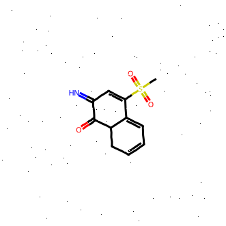 CS(=O)(=O)C1=CC(=N)C(=O)C2CC=CC=C12